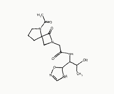 CC(=O)N1CCCC12CN(CC(=O)NC(C(C)O)C1NC=NO1)C2=O